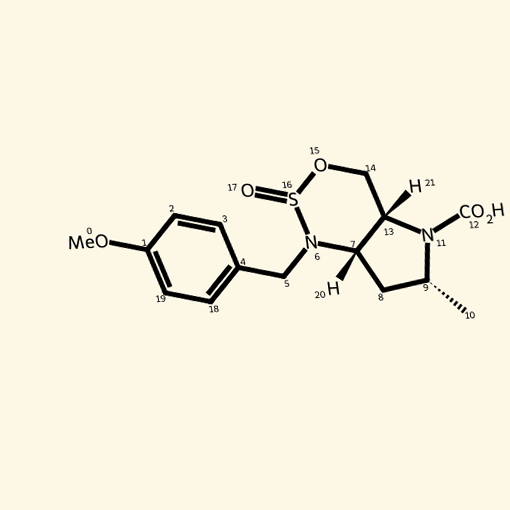 COc1ccc(CN2[C@H]3C[C@@H](C)N(C(=O)O)[C@H]3COS2=O)cc1